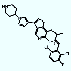 CC(/C=C/c1c(Cl)ccc(F)c1Cl)Oc1c(N)ncc2c(-c3cnn(C4CCNCC4)c3)coc12